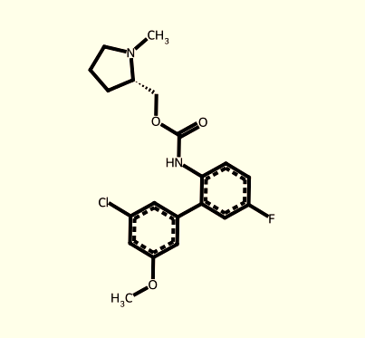 COc1cc(Cl)cc(-c2cc(F)ccc2NC(=O)OC[C@@H]2CCCN2C)c1